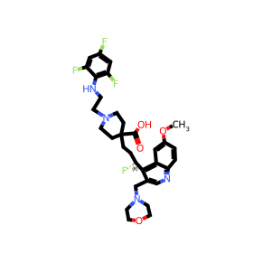 COc1ccc2ncc(CN3CCOCC3)c([C@H](F)CCC3(C(=O)O)CCN(CCNc4c(F)cc(F)cc4F)CC3)c2c1